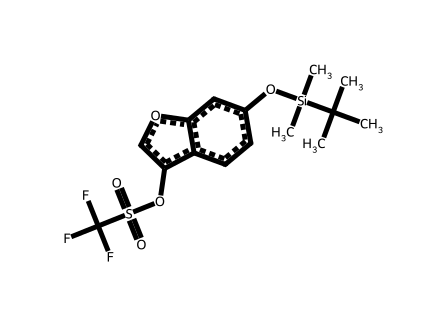 CC(C)(C)[Si](C)(C)Oc1ccc2c(OS(=O)(=O)C(F)(F)F)coc2c1